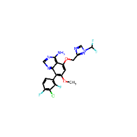 COc1cc(OCc2ncn(C(F)F)n2)c2c(N)ncnc2c1-c1ccc(F)c(Cl)c1F